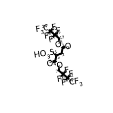 O=C(CC(C(=O)OCC(F)(F)C(F)(F)C(F)(F)F)S(=O)(=O)O)OCC(F)(F)C(F)(F)C(F)(F)F